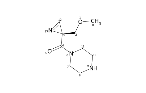 COC[C@]1(C(=O)N2CCNCC2)C=N1